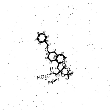 CC(C)C[C@H](NC(=O)O)[C@@]1(Cc2nccc3c2CCC(OCc2ccccc2)C3)OC(C)(C)OC1=O